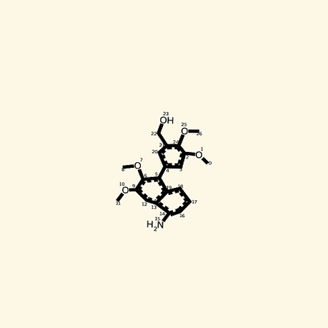 COc1cc(-c2c(OC)c(OC)cc3c(N)cccc23)cc(CO)c1OC